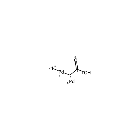 O=C(O)[CH2][Pd][Cl].[Pd]